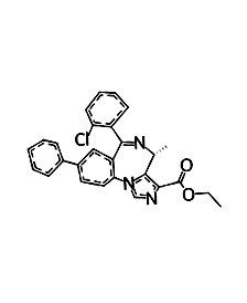 CCOC(=O)c1ncn2c1[C@@H](C)N=C(c1ccccc1Cl)c1cc(-c3ccccc3)ccc1-2